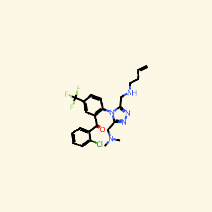 C=CCCNCc1nnc(CN(C)C)n1-c1ccc(C(F)(F)F)cc1C(=O)c1ccccc1Cl